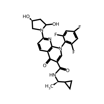 C[C@@H](NC(=O)c1cn(-c2c(F)cc(F)cc2F)c2nc(N3C[C@@H](O)CC3O)ccc2c1=O)C1CC1